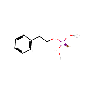 CCOP(=S)(OCC)OCCc1ccccc1